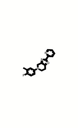 Cc1cc(N2CCc3oc(-c4ccccn4)nc3C2)ccc1F